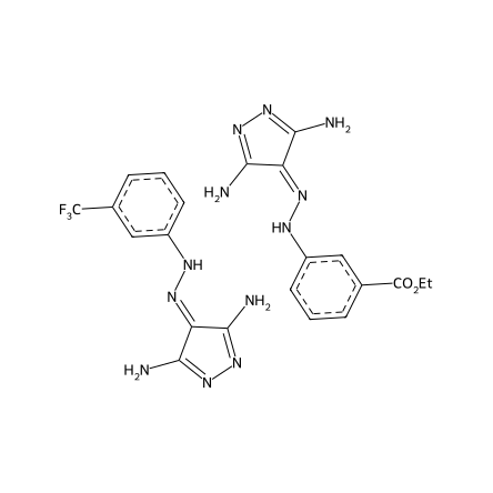 CCOC(=O)c1cccc(NN=C2C(N)=NN=C2N)c1.NC1=NN=C(N)C1=NNc1cccc(C(F)(F)F)c1